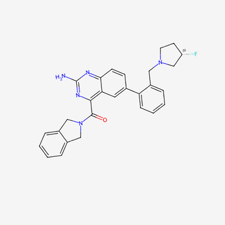 Nc1nc(C(=O)N2Cc3ccccc3C2)c2cc(-c3ccccc3CN3CC[C@H](F)C3)ccc2n1